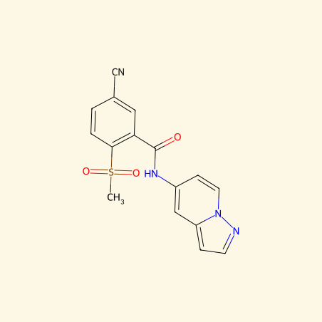 CS(=O)(=O)c1ccc(C#N)cc1C(=O)Nc1ccn2nccc2c1